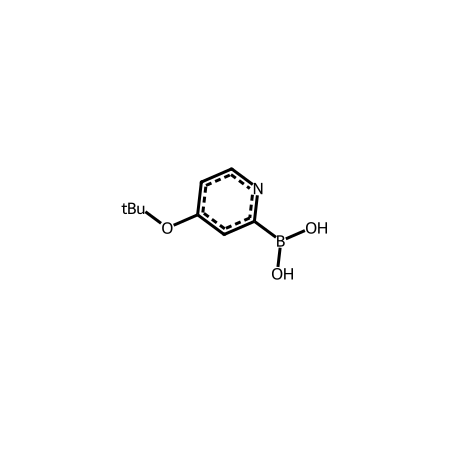 CC(C)(C)Oc1ccnc(B(O)O)c1